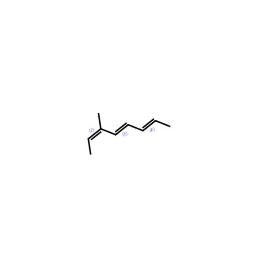 C\C=C(C)/C=C/C=C/C